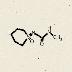 CNC(=O)N=S1(=O)CC[CH]CC1